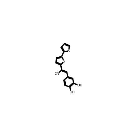 [C-]#[N+]/C(=C\c1ccc(O)c(O)c1)c1ccc(-c2cccs2)s1